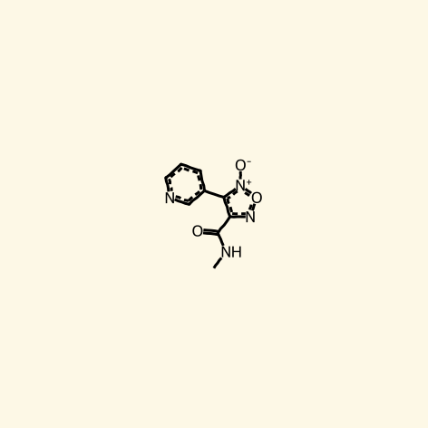 CNC(=O)c1no[n+]([O-])c1-c1cccnc1